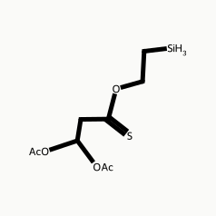 CC(=O)OC(CC(=S)OCC[SiH3])OC(C)=O